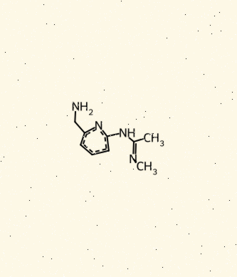 CN=C(C)Nc1cccc(CN)n1